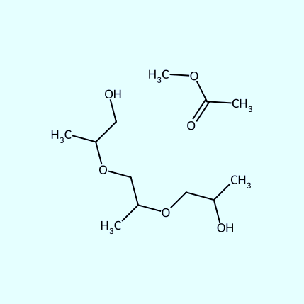 CC(O)COC(C)COC(C)CO.COC(C)=O